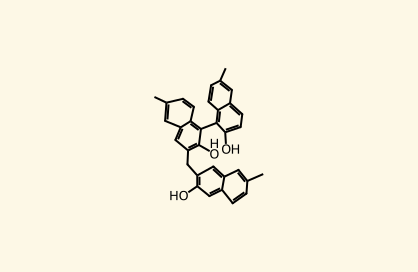 Cc1ccc2cc(O)c(Cc3cc4cc(C)ccc4c(-c4c(O)ccc5cc(C)ccc45)c3O)cc2c1